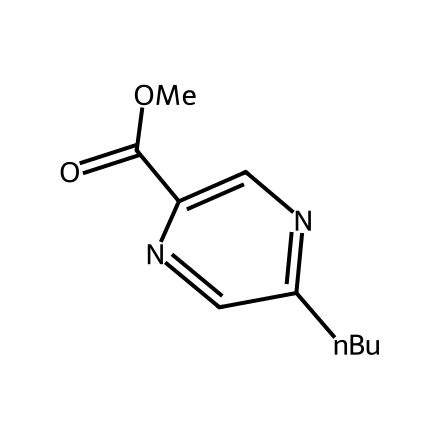 CCCCc1cnc(C(=O)OC)cn1